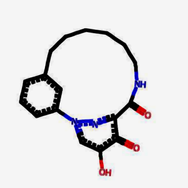 O=C1NCCCCCCc2cccc(c2)-n2cc(O)c(=O)c1n2